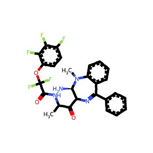 CC(NC(=O)C(F)(F)Oc1ccc(F)c(F)c1F)C(=O)C1N=C(c2ccccc2)c2ccccc2N(C)[C@@H]1N